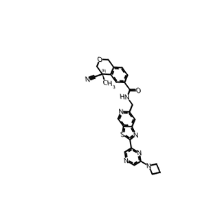 C[C@@]1(C#N)COCc2ccc(C(=O)NCc3cc4nc(-c5cncc(N6CCC6)n5)sc4cn3)cc21